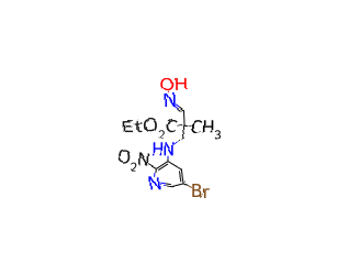 CCOC(=O)C(C)(/C=N/O)CNc1cc(Br)cnc1[N+](=O)[O-]